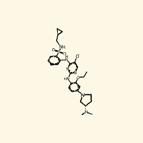 CCOc1cc(N2CC[C@H](N(C)C)C2)ccc1Nc1ncc(Cl)c(Nc2ccccc2S(=O)(=O)NCC2CC2)n1